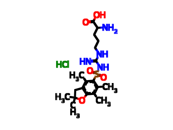 Cc1c(C)c(S(=O)(=O)NC(=N)NCCCC(N)C(=O)O)c(C)c2c1OC(C)(C)C2.Cl